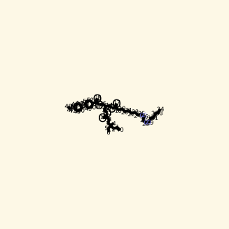 C=CCC(C)(CC)CCC(=O)OCC(COC(=O)CCCCCCC/C=C\C/C=C\CCCCC)COC(=O)C1CCN(C2CCN(CC)CC2)CC1